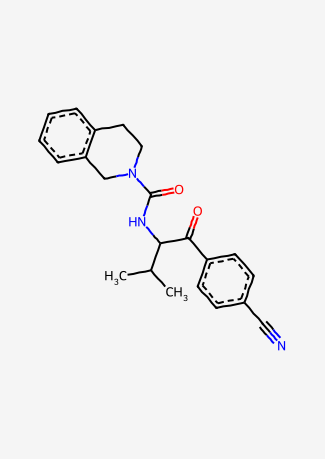 CC(C)C(NC(=O)N1CCc2ccccc2C1)C(=O)c1ccc(C#N)cc1